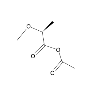 CO[C@@H](C)C(=O)OC(C)=O